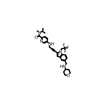 CC(C)N(C)C(=O)c1ccc(NCC#Cc2cc3cc(CNC4CCOCC4)ccc3n2CC(F)(F)F)cn1